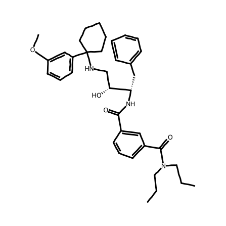 CCCN(CCC)C(=O)c1cccc(C(=O)N[C@@H](Cc2ccccc2)[C@H](O)CNC2(c3cccc(OC)c3)CCCCC2)c1